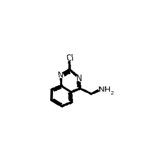 NCc1nc(Cl)nc2ccccc12